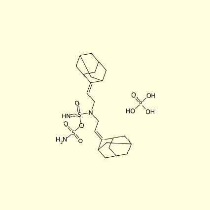 N=S(=O)(OS(N)(=O)=O)N(CC=C1C2CC3CC(C2)CC1C3)CC=C1C2CC3CC(C2)CC1C3.O=P(O)(O)O